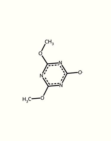 COc1nc([O])nc(OC)n1